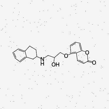 O=c1ccc2c(OCC(O)CNC3CCc4ccccc4C3)cccc2o1